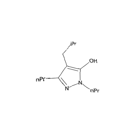 CCCc1nn(CCC)c(O)c1CC(C)C